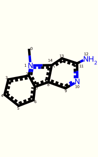 Cn1c2ccccc2c2cnc(N)cc21